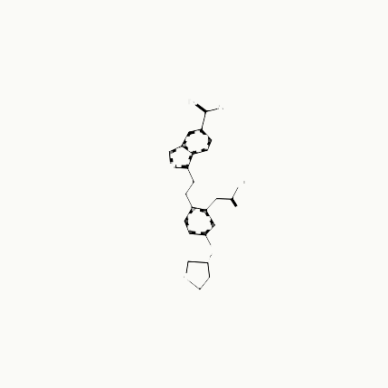 Cl.Cl.N=C(N)c1ccc2c(CCc3ccc(O[C@H]4CCNC4)cc3CC(=O)O)occ2c1